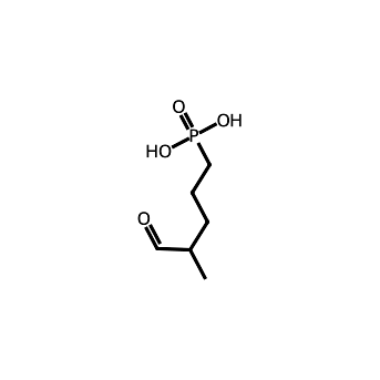 CC(C=O)CCCP(=O)(O)O